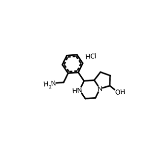 Cl.NCc1ccccc1C1NCCN2C(O)CCC12